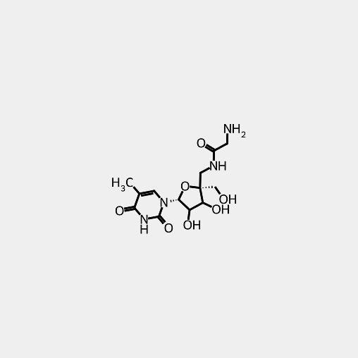 Cc1cn([C@@H]2O[C@@](CO)(CNC(=O)CN)C(O)C2O)c(=O)[nH]c1=O